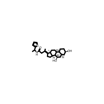 C/C(CC(=O)NC(C)c1cccs1)=C1/CC[C@H]2[C@@H]3[C@H](O)C[C@@H]4C[C@H](O)CC[C@]4(C)[C@H]3CC[C@]12C